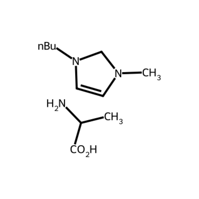 CC(N)C(=O)O.CCCCN1C=CN(C)C1